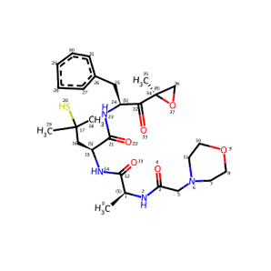 C[C@H](NC(=O)CN1CCOCC1)C(=O)N[C@@H](CC(C)(C)S)C(=O)N[C@@H](Cc1ccccc1)C(=O)[C@@]1(C)CO1